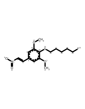 COc1cc(C=C[N+](=O)[O-])cc(OC)c1SCCCCCF